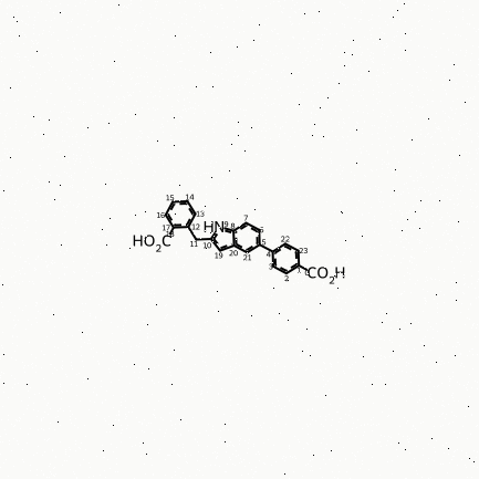 O=C(O)c1ccc(-c2ccc3[nH]c(Cc4ccccc4C(=O)O)cc3c2)cc1